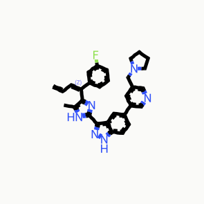 C=C/C=C(/c1cccc(F)c1)c1nc(-c2n[nH]c3ccc(-c4cncc(CN5CCCC5)c4)cc23)[nH]c1C